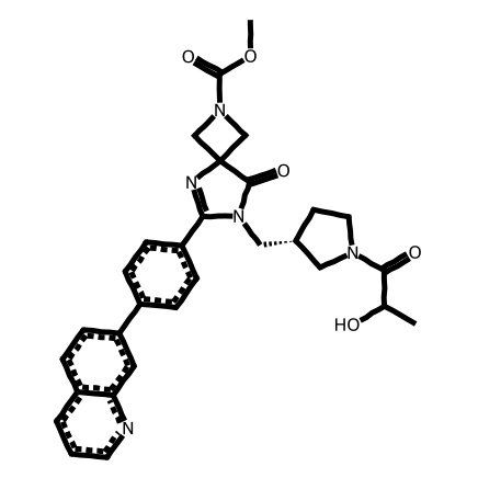 COC(=O)N1CC2(C1)N=C(c1ccc(-c3ccc4cccnc4c3)cc1)N(C[C@@H]1CCN(C(=O)C(C)O)C1)C2=O